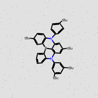 CC(C)(C)c1ccc(N2c3ccc(C(C)(C)C)cc3B3c4ccccc4N(c4cc(C(C)(C)C)cc(C(C)(C)C)c4)c4cc(C(C)(C)C)cc2c43)cc1